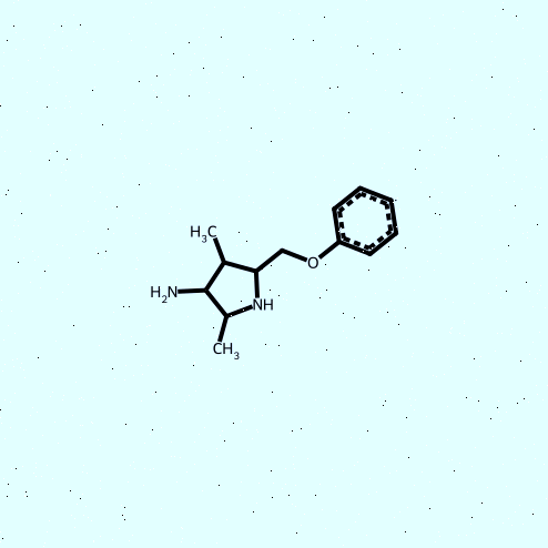 CC1NC(COc2cc[c]cc2)C(C)C1N